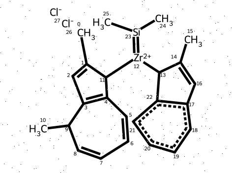 CC1=CC2=C(C=CC=CC2C)[CH]1[Zr+2]([CH]1C(C)=Cc2ccccc21)=[Si](C)C.[Cl-].[Cl-]